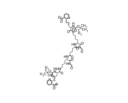 CC(C)(C)OC(=O)NC(CSSc1ncccc1[N+](=O)[O-])C(=O)NCCCCC(NC(=O)CCCC(=O)NC(CCCCNC(=O)C(CSSc1ncccc1[N+](=O)[O-])NC(=O)OC(C)(C)C)C(=O)NC=O)C(=O)NC=O